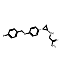 NC(=O)CN[C@@H]1C[C@H]1c1ccc(OCc2ccc(F)cc2)cc1